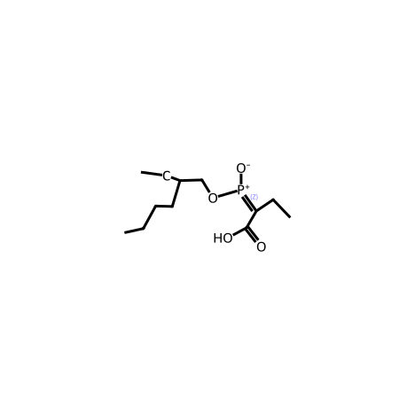 CCCCC(CC)CO/[P+]([O-])=C(/CC)C(=O)O